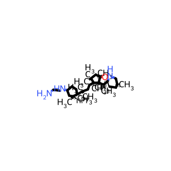 CCC[C@@]1(C)CC(NCCN)CC[C@]1(C)C(C)(C)CC[C@@]1(C)C(C)(C)C[C@]2(C)O[C@@]3(CC[C@H](C)CN3)[C@@H](C)[C@]12C